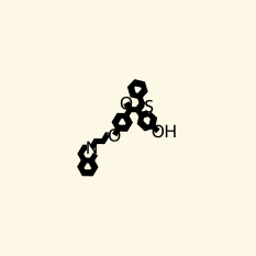 O=C(c1ccc(OCCCN2CCc3ccccc3C2)cc1)c1c(-c2ccccc2)sc2cc(O)ccc12